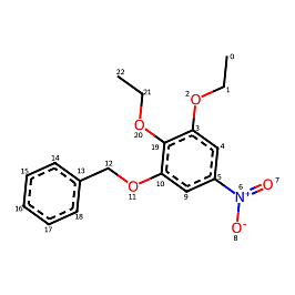 CCOc1cc([N+](=O)[O-])cc(OCc2ccccc2)c1OCC